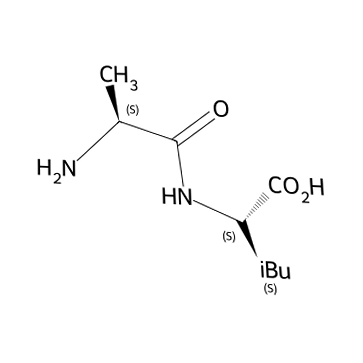 CC[C@H](C)[C@H](NC(=O)[C@H](C)N)C(=O)O